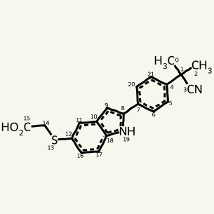 CC(C)(C#N)c1ccc(-c2cc3cc(SCC(=O)O)ccc3[nH]2)cc1